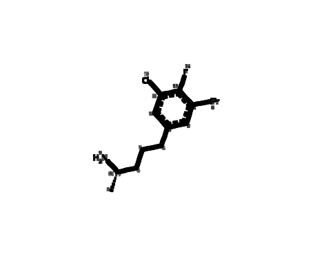 CC(C)c1cc(CCC[C@H](C)N)cc(Cl)c1F